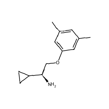 Cc1cc(C)cc(OC[C@@H](N)C2CC2)c1